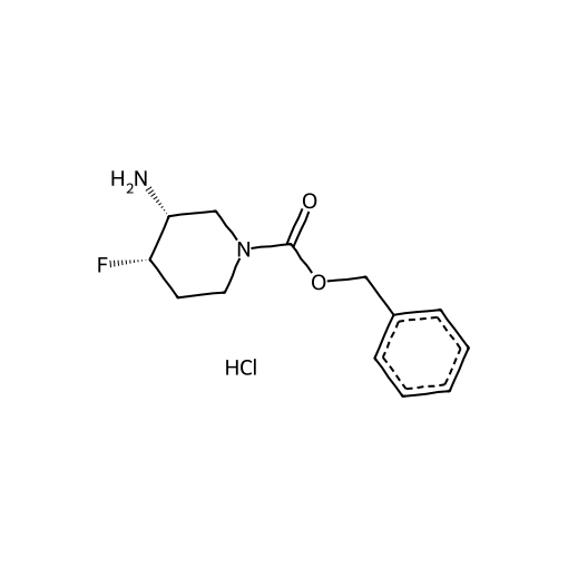 Cl.N[C@@H]1CN(C(=O)OCc2ccccc2)CC[C@@H]1F